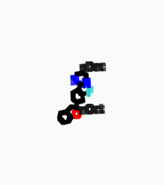 CCCCCCCCCCc1cnc(-c2ccc(C3(CCCCCCCC)Cc4ccccc4O3)cc2F)nc1